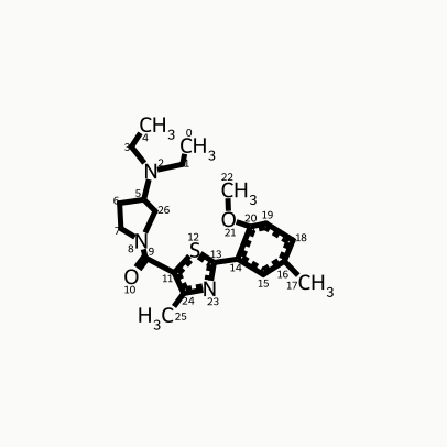 CCN(CC)C1CCN(C(=O)c2sc(-c3cc(C)ccc3OC)nc2C)C1